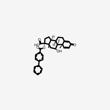 C[C@]12C=CC(=O)C=C1CC[C@H]1[C@@H]3CC[C@](OC(=O)c4ccc(-c5ccccc5)cc4)(C(=O)O)[C@@]3(C)C[C@H](O)[C@@]12F